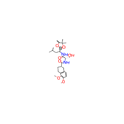 C=C1OB(C(CC(C)C)NC(=O)[C@H](CO)NC(=O)C2CCc3c(ccc(OC)c3OC)C2)OC1(C)C